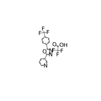 FC(F)(F)c1ccc(-c2nnc(-c3cccnc3)o2)cc1.O=C(O)C(F)(F)F